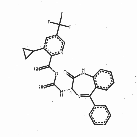 N=C(N[C@H]1N=C(c2ccccc2)c2ccccc2NC1=O)OC(=N)c1ncc(C(F)(F)F)cc1C1CC1